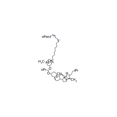 CCCCC/C=C\C/C=C\CCCCCCCCOCC(C[As](C)C)OC(CCC)OC1CC[C@@]2(C)C(=CCC3C2CC[C@@]2(C)C3CC[C@@H]2[C@H](C)CCCC(C)C)C1